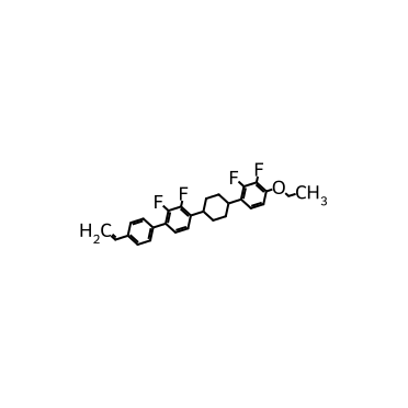 C=Cc1ccc(-c2ccc(C3CCC(c4ccc(OCC)c(F)c4F)CC3)c(F)c2F)cc1